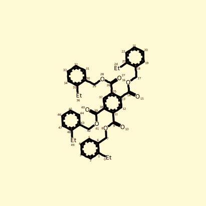 CCc1ccccc1COC(=O)c1cc(C(=O)OCc2ccccc2CC)c(C(=O)OCc2ccccc2CC)cc1C(=O)OCc1ccccc1CC